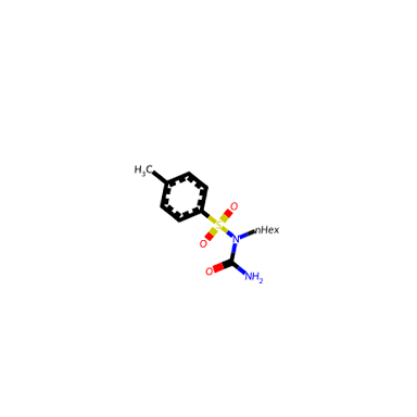 CCCCCCN(C(N)=O)S(=O)(=O)c1ccc(C)cc1